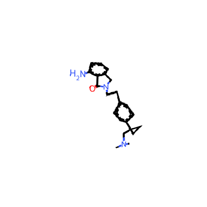 CN(C)CC1(c2ccc(CCN3Cc4cccc(N)c4C3=O)cc2)CC1